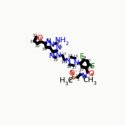 CN(CC[S@@+](C)[O-])C(=O)c1cc(N2CCN(CCn3cnc4c3nc(N)n3nc(-c5ccco5)cc43)CC2)c(F)cc1F